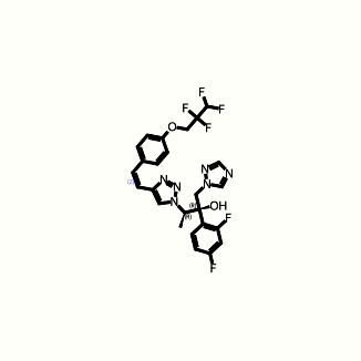 C[C@@H](n1cc(/C=C\c2ccc(OCC(F)(F)C(F)F)cc2)nn1)[C@](O)(Cn1cncn1)c1ccc(F)cc1F